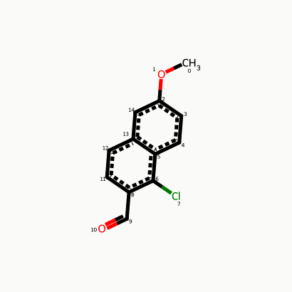 COc1ccc2c(Cl)c(C=O)ccc2c1